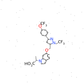 CC(C(=O)O)n1ccc2ccc(OCc3cc(-c4ccc(OC(F)(F)F)cc4)nn3CC(F)(F)F)cc21